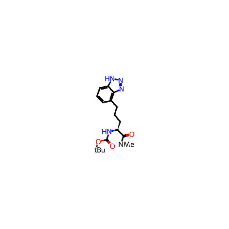 CNC(=O)[C@H](CCCc1cccc2[nH]nnc12)NC(=O)OC(C)(C)C